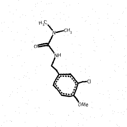 COc1ccc(CNC(=O)N(C)C)cc1Cl